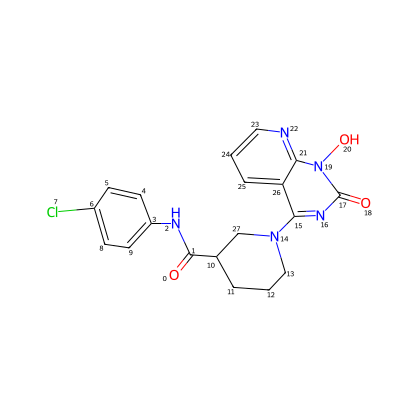 O=C(Nc1ccc(Cl)cc1)C1CCCN(c2nc(=O)n(O)c3ncccc23)C1